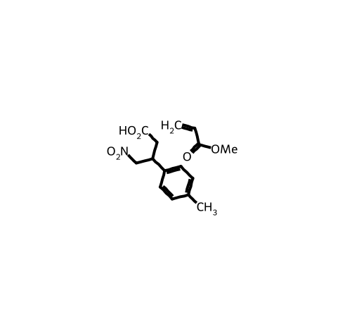 C=CC(=O)OC.Cc1ccc(C(CC(=O)O)C[N+](=O)[O-])cc1